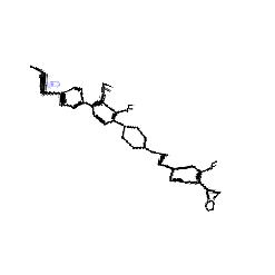 C/C=C/c1ccc(-c2ccc(C3CCC(CCc4ccc(C5CO5)c(F)c4)CC3)c(F)c2F)cc1